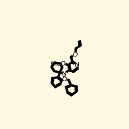 C=CCOCc1nccc(N(OCc2ccccc2)C2(c3ccccc3)CCCCC2)c1OC